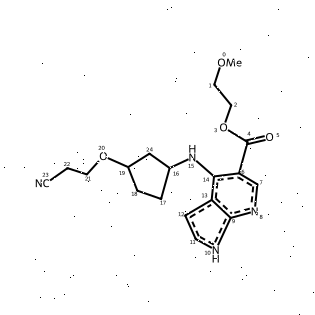 COCCOC(=O)c1cnc2[nH]ccc2c1NC1CCC(OCCC#N)C1